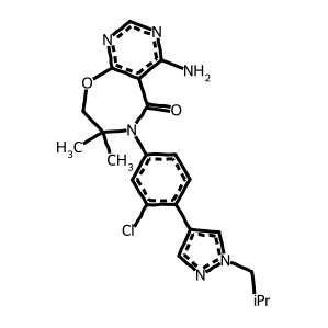 CC(C)Cn1cc(-c2ccc(N3C(=O)c4c(N)ncnc4OCC3(C)C)cc2Cl)cn1